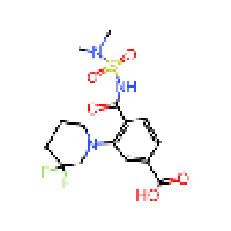 CN(C)S(=O)(=O)NC(=O)c1ccc(C(=O)O)cc1N1CCCC(F)(F)C1